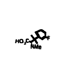 CN[C@H](C(=O)O)C(C)(C)c1cccc(F)c1